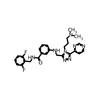 CN(C)CCCn1c(CNc2cccc(C(=O)NCc3c(F)cccc3F)c2)nnc1-c1ccncn1